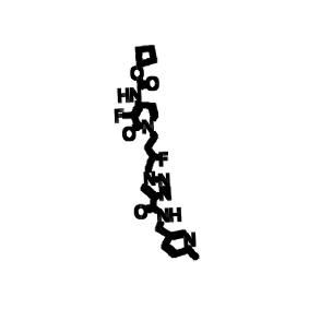 Cc1ccc(CNC(=O)c2cn(CC(F)CCn3ccc(NC(=O)OC4CCC4)c(F)c3=O)nn2)cn1